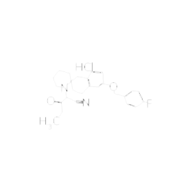 CCC(=O)C(C#N)N1CCCCC12CCc1cc(OCc3ccc(F)cc3)ccc1C2.Cl